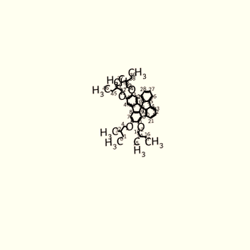 CCC(C)COc1cc2c(cc1OCC(C)CC)C1(c3ccccc3-c3ccccc31)c1cc(OCC(C)CC)c(OCC(C)CC)cc1-2